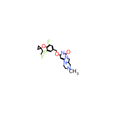 CN1CCN2c3cc(OCc4cc(F)c(OC5(CCF)CC5)c(F)c4)nc(=O)n3CC2C1